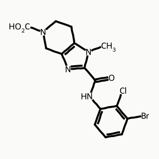 Cn1c(C(=O)Nc2cccc(Br)c2Cl)nc2c1CCN(C(=O)O)C2